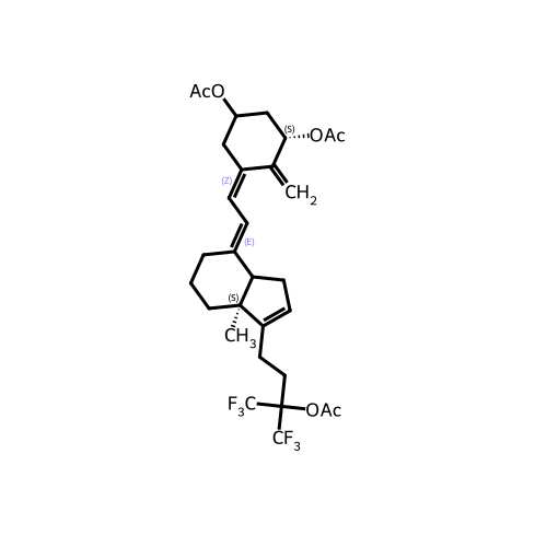 C=C1/C(=C\C=C2/CCC[C@]3(C)C(CCC(OC(C)=O)(C(F)(F)F)C(F)(F)F)=CCC23)CC(OC(C)=O)C[C@@H]1OC(C)=O